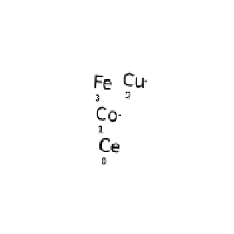 [Ce].[Co].[Cu].[Fe]